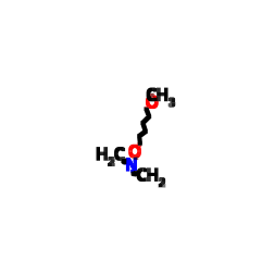 C=CN(C=C)COCCCCCCOC